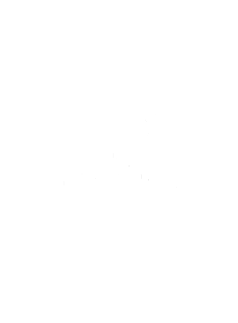 C=C(C)C(=O)OCC(C)(C)COC(=O)C(=C)C.C=CC(=O)O